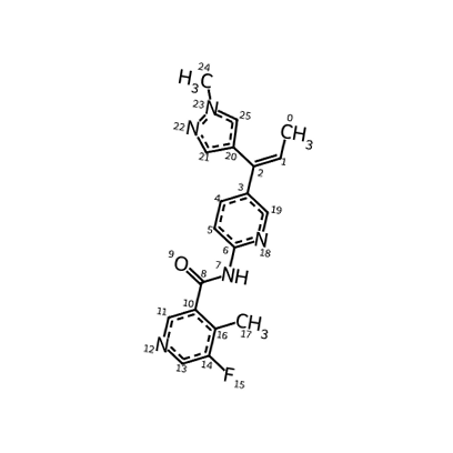 C/C=C(/c1ccc(NC(=O)c2cncc(F)c2C)nc1)c1cnn(C)c1